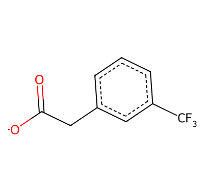 [O]C(=O)Cc1cccc(C(F)(F)F)c1